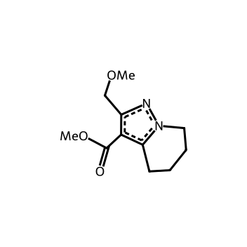 COCc1nn2c(c1C(=O)OC)CCCC2